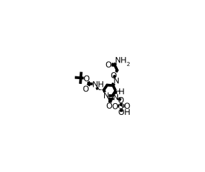 CC(C)(C)OC(=O)NC[C@@H]1CC(=NOCC(N)=O)[C@@H]2CN1C(=O)N2OS(=O)(=O)O